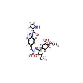 CCC1OC(=O)N(Cc2ccc(NC(=O)c3ccc[nH]3)cc2)N=C1c1ccc(OC)c(O)c1